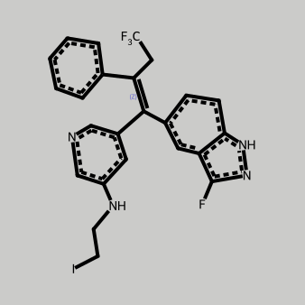 Fc1n[nH]c2ccc(/C(=C(\CC(F)(F)F)c3ccccc3)c3cncc(NCCI)c3)cc12